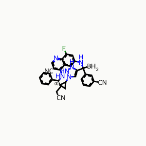 BC(Nc1cc(F)c2ncc(C#N)c(N[C@@H](CCC#N)c3ccccc3)c2c1)(C1=CN(C2CC2)NN1)c1cccc(C#N)c1